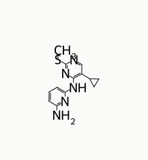 CSc1ncc(C2CC2)c(Nc2cccc(N)n2)n1